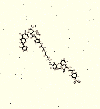 Cc1ncsc1-c1ccc([C@H](C)NC(=O)[C@@H]2C[C@@H](O)CC2C(=O)[C@@H](c2cc(OCCOCCOCCOc3ccc(CN4C(=O)/C(=C\C=C\c5ccc([N+](=O)[O-])cc5)c5ccccc54)cc3)no2)C(C)C)cc1